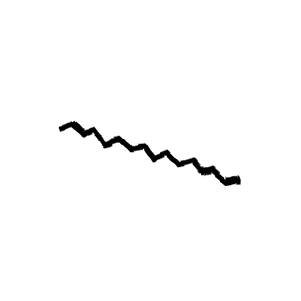 C=CC=CCCCCCCCCCC=CC